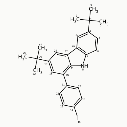 CC(C)(C)c1ccc2[nH]c3c(-c4ccc(I)cc4)cc(C(C)(C)C)cc3c2c1